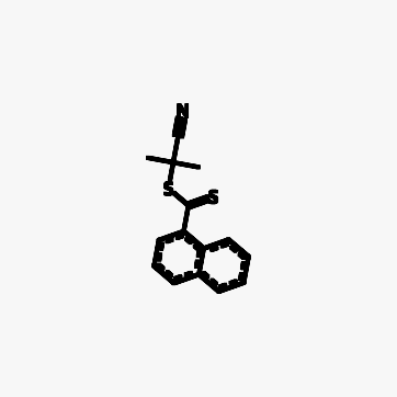 CC(C)(C#N)SC(=S)c1cccc2ccccc12